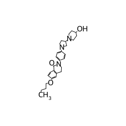 CCCCOc1ccc2c(c1)CCN(c1ccc(N3CCC(N4CCC(O)CC4)C3)cc1)C2=O